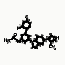 CC(=O)Nc1cc(-c2ccc(F)cc2F)cc(-n2cnc3cc(-c4c[nH]nc4C)ccc32)c1